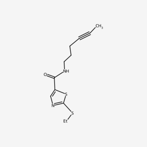 CC#CCCCNC(=O)c1cnc(SCC)s1